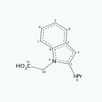 CCCc1cc2ccccc2n1CC(=O)O